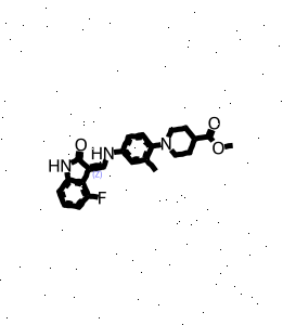 COC(=O)C1CCN(c2ccc(N/C=C3\C(=O)Nc4cccc(F)c43)cc2C)CC1